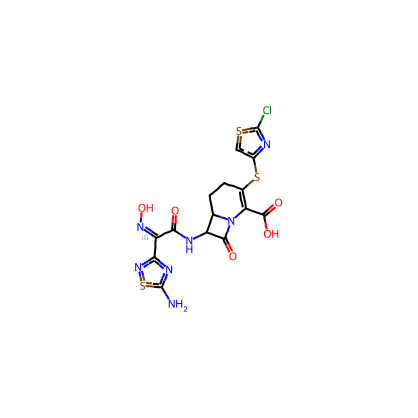 Nc1nc(/C(=N/O)C(=O)NC2C(=O)N3C(C(=O)O)=C(Sc4csc(Cl)n4)CCC23)ns1